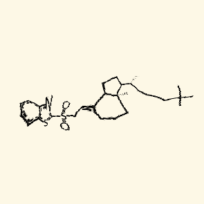 C[C@H](CCCC(C)(C)C)C1CCC2/C(=C/CS(=O)(=O)c3nc4ccccc4s3)CCC[C@@]21C